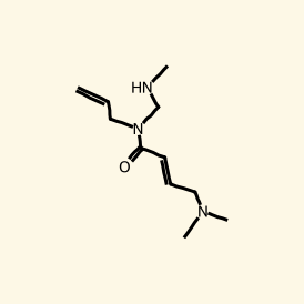 C=CCN(CNC)C(=O)/C=C/CN(C)C